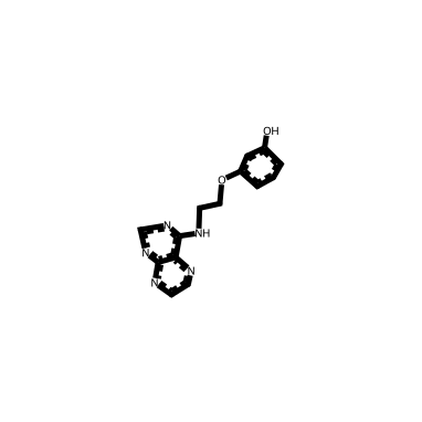 Oc1cccc(OCCNc2ncnc3nccnc23)c1